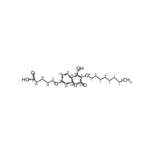 CCCCCCCCOc1c(O)c2ccc(OCCCCC(=O)O)cc2oc1=O